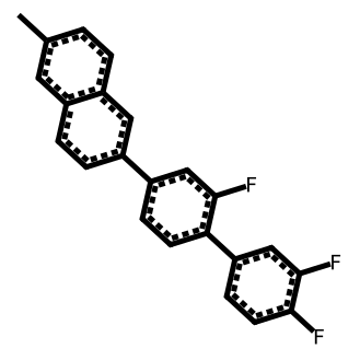 Cc1ccc2cc(-c3ccc(-c4ccc(F)c(F)c4)c(F)c3)ccc2c1